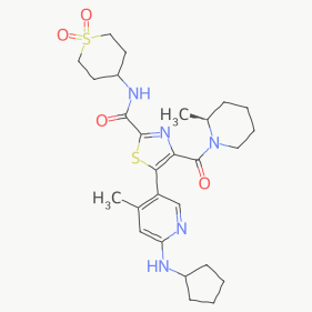 Cc1cc(NC2CCCC2)ncc1-c1sc(C(=O)NC2CCS(=O)(=O)CC2)nc1C(=O)N1CCCC[C@@H]1C